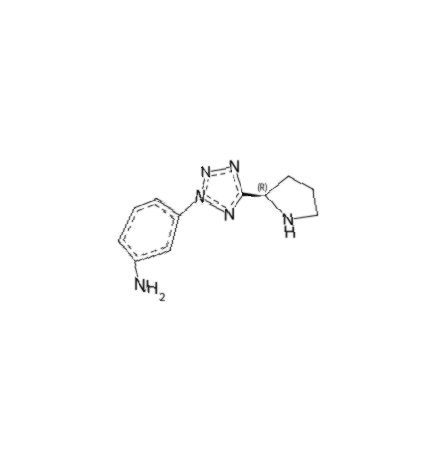 Nc1cccc(-n2nnc([C@H]3CCCN3)n2)c1